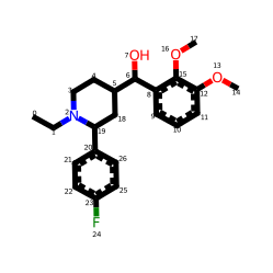 CCN1CCC(C(O)c2cccc(OC)c2OC)CC1c1ccc(F)cc1